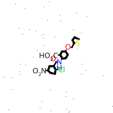 O=C(Nc1ccc(OCc2cccs2)cc1C(=O)O)c1cc([N+](=O)[O-])ccc1Cl